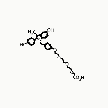 Cc1c(-c2ccc(O)cc2)n(Cc2ccc(OCCOCCOCCOCC(=O)O)cc2)c2ccc(O)cc12